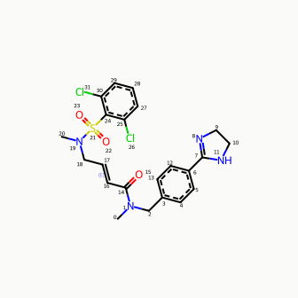 CN(Cc1ccc(C2=NCCN2)cc1)C(=O)/C=C/CN(C)S(=O)(=O)c1c(Cl)cccc1Cl